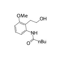 CCCCC(=O)Nc1cccc(OC)c1CCO